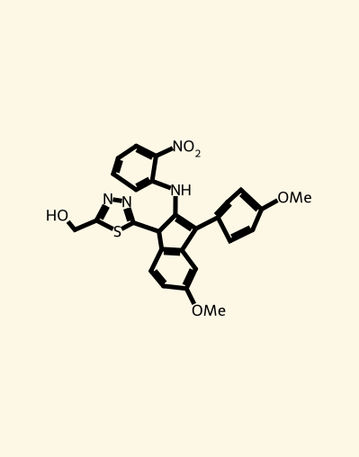 COc1ccc(C2=C(Nc3ccccc3[N+](=O)[O-])C(c3nnc(CO)s3)c3ccc(OC)cc32)cc1